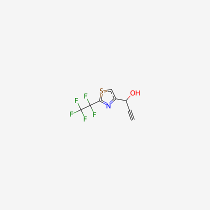 C#CC(O)c1csc(C(F)(F)C(F)(F)F)n1